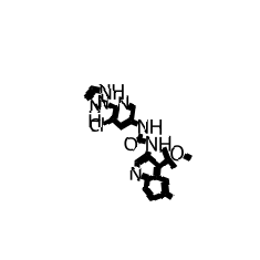 COC(C)(C)c1c(NC(=O)Nc2cnc(N3NC=CN3)c(Cl)c2)cnc2ccc(C)cc12